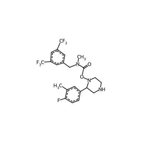 Cc1cc(C2CNCCN2OC(=O)N(C)Cc2cc(C(F)(F)F)cc(C(F)(F)F)c2)ccc1F